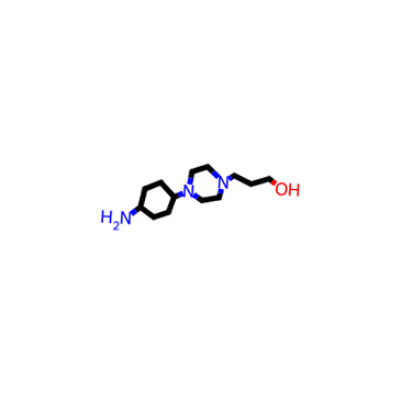 NC1CCC(N2CCN(CCCO)CC2)CC1